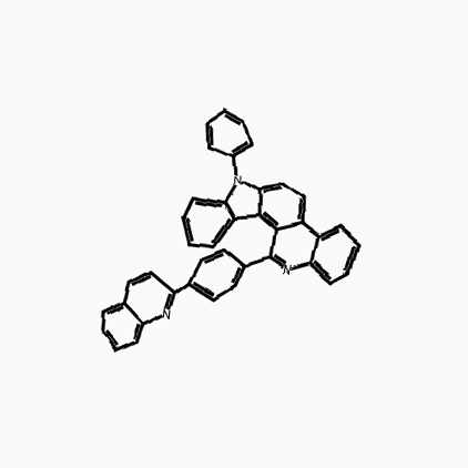 c1ccc(-n2c3ccccc3c3c4c(-c5ccc(-c6ccc7ccccc7n6)cc5)nc5ccccc5c4ccc32)cc1